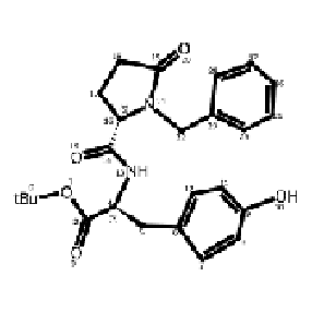 CC(C)(C)OC(=O)[C@H](Cc1ccc(O)cc1)NC(=O)[C@@H]1CCC(=O)N1Cc1ccccc1